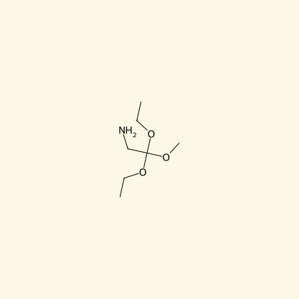 CCOC(CN)(OC)OCC